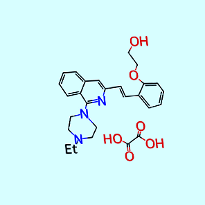 CCN1CCN(c2nc(/C=C/c3ccccc3OCCO)cc3ccccc23)CC1.O=C(O)C(=O)O